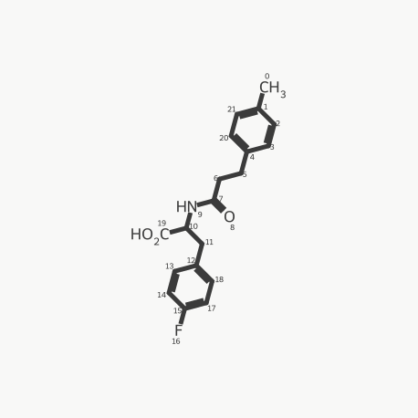 Cc1ccc(CCC(=O)NC(Cc2ccc(F)cc2)C(=O)O)cc1